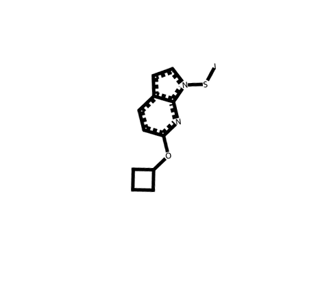 ISn1ccc2ccc(OC3CCC3)nc21